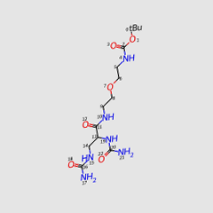 CC(C)(C)OC(=O)NCCOCCNC(=O)C(CNC(N)=O)NC(N)=O